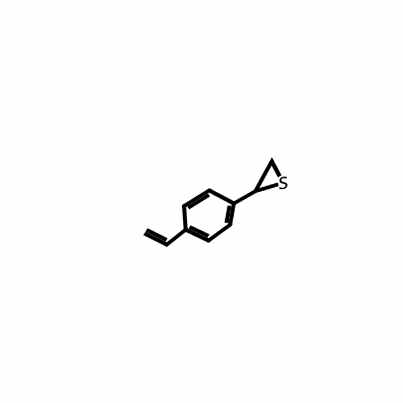 C=Cc1ccc(C2CS2)cc1